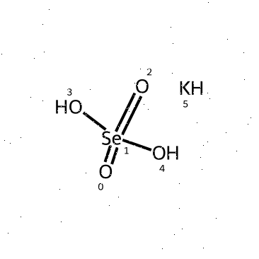 O=[Se](=O)(O)O.[KH]